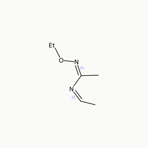 C/C=N\C(C)=N/OCC